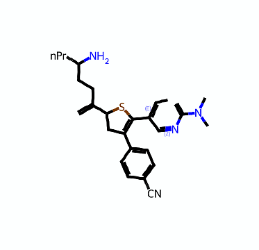 C=C(CCC(N)CCC)C1CC(c2ccc(C#N)cc2)=C(C(/C=N\C(=C)N(C)C)=C/C)S1